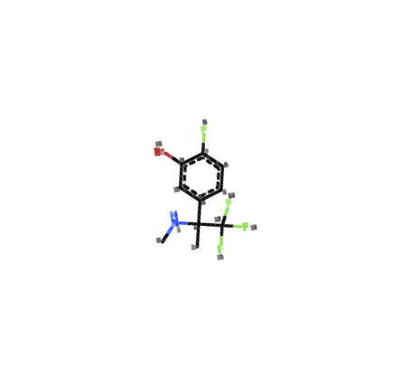 CNC(C)(c1ccc(F)c(Br)c1)C(F)(F)F